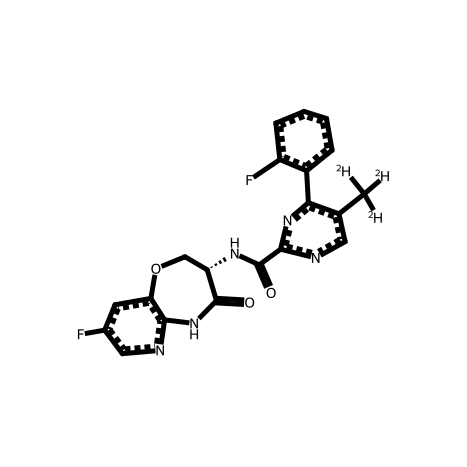 [2H]C([2H])([2H])c1cnc(C(=O)N[C@H]2COc3cc(F)cnc3NC2=O)nc1-c1ccccc1F